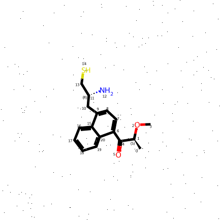 [CH2][C@H](OC)C(=O)c1ccc(C[C@@H](N)CS)c2ccccc12